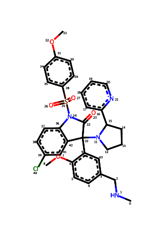 CNCc1ccc(OC)c(C2(N3CCCC3c3ccccn3)C(=O)N(S(=O)(=O)c3ccc(OC)cc3)c3ccc(Cl)cc32)c1